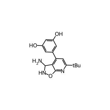 CC(C)(C)c1cc(-c2cc(O)cc(O)c2)c2c(n1)ONC2N